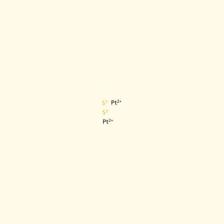 [Pt+2].[Pt+2].[S-2].[S-2]